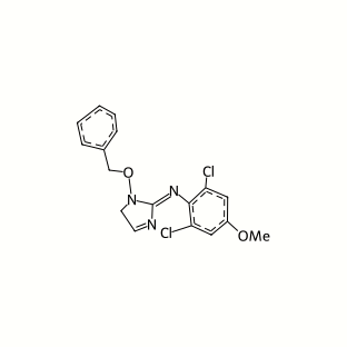 COc1cc(Cl)c(N=C2N=CCN2OCc2ccccc2)c(Cl)c1